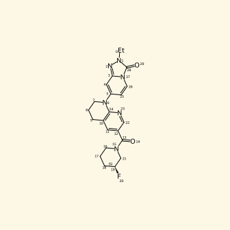 CCn1nc2cc(N3CCCc4cc(C(=O)N5CCC[C@H](F)C5)cnc43)ccn2c1=O